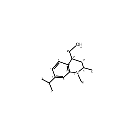 CC(C)c1ccc2c(c1)N(C)C(C)CC2CO